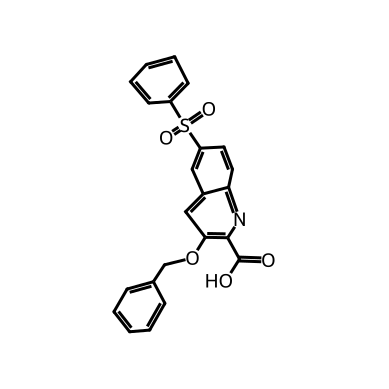 O=C(O)c1nc2ccc(S(=O)(=O)c3ccccc3)cc2cc1OCc1ccccc1